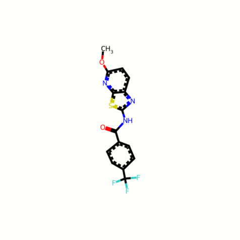 COc1ccc2nc(NC(=O)c3ccc(C(F)(F)F)cc3)sc2n1